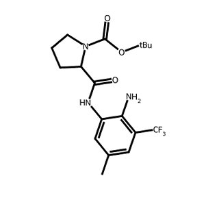 Cc1cc(NC(=O)C2CCCN2C(=O)OC(C)(C)C)c(N)c(C(F)(F)F)c1